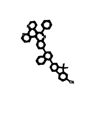 CC1(C)c2cc(C#N)ccc2-c2ccc(-c3ccc(-c4ccc5c(c4)nc(-c4ccccc4)c4c6cccnc6c6ncccc6c54)c4ccccc34)cc21